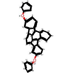 c1ccc(Oc2ccc3c(c2)-c2ccc4c5c(c6ccccc6c-3c25)-c2ccc(Oc3ccccc3)cc2-4)cc1